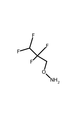 NOCC(F)(F)C(F)F